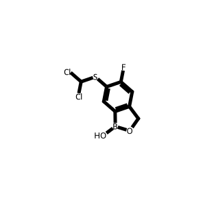 OB1OCc2cc(F)c(SC(Cl)Cl)cc21